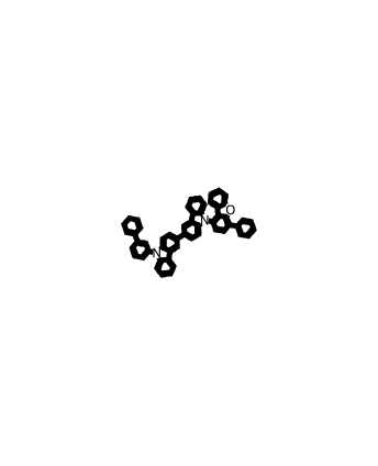 C1=CC(c2cccc(-n3c4ccccc4c4cc(-c5ccc6c(c5)c5ccccc5n6-c5ccc(-c6ccccc6)c6oc7ccccc7c56)ccc43)c2)=CCC1